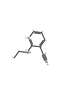 CCNc1ncccc1C#N